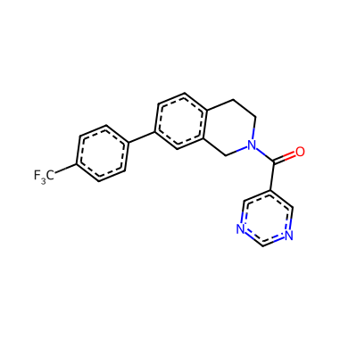 O=C(c1cncnc1)N1CCc2ccc(-c3ccc(C(F)(F)F)cc3)cc2C1